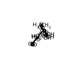 CN(C)C(=O)OCc1ccc(O[C@@H]2O[C@H](C(=O)O)[C@@H](O)[C@H](O)[C@H]2O)cc1OCCOCCNC(=O)CCCCCN1C(=O)C=CC1=O